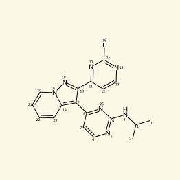 CC(C)Nc1nccc(-c2c(-c3ccnc(F)n3)nn3ccccc23)n1